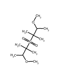 COC(C)C(C)(C)S(=O)(=O)C(C)(C)C(C)OC